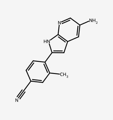 Cc1cc(C#N)ccc1-c1cc2cc(N)cnc2[nH]1